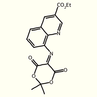 CCOC(=O)c1cnc2c(N=C3C(=O)OC(C)(C)OC3=O)cccc2c1